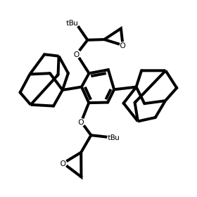 CC(C)(C)C(Oc1cc(C23CC4CC(CC(C4)C2)C3)cc(OC(C2CO2)C(C)(C)C)c1C12CC3CC(CC(C3)C1)C2)C1CO1